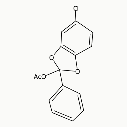 CC(=O)OC1(c2ccccc2)Oc2ccc(Cl)cc2O1